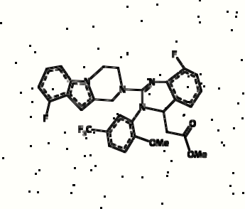 COC(=O)CC1c2cccc(F)c2N=C(N2CCn3c(cc4c(F)cccc43)C2)N1c1cc(C(F)(F)F)ccc1OC